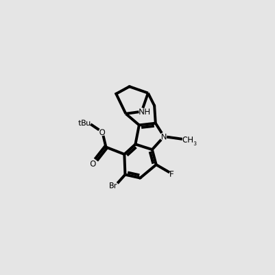 Cn1c2c(c3c(C(=O)OC(C)(C)C)c(Br)cc(F)c31)C1CCC(C2)N1